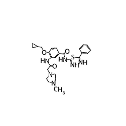 CN1CCN(CC(=O)Nc2cc(C(=O)NC(=N)SC(=N)c3ccccc3)ccc2OCC2CC2)CC1